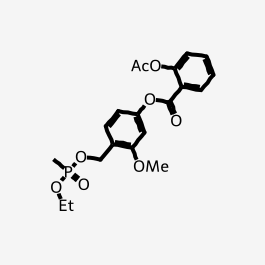 CCOP(C)(=O)OCc1ccc(OC(=O)c2ccccc2OC(C)=O)cc1OC